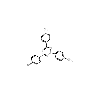 Bc1ccc(-c2nc(-c3ccc(C)cc3)nc(-c3ccc(Br)cc3)n2)cc1